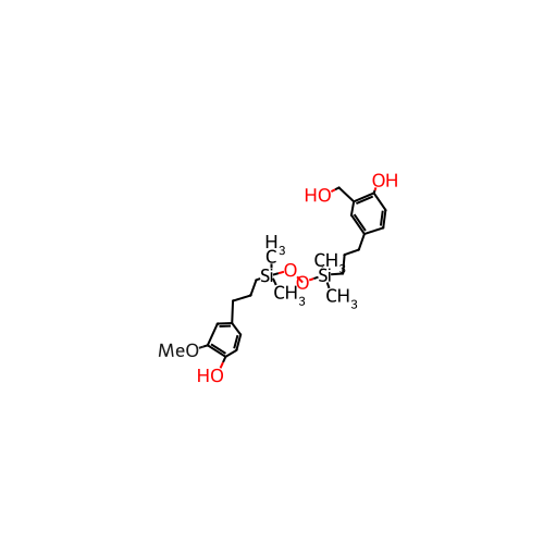 COc1cc(CCC[Si](C)(C)OO[Si](C)(C)CCCc2ccc(O)c(CO)c2)ccc1O